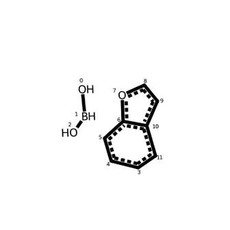 OBO.c1ccc2occc2c1